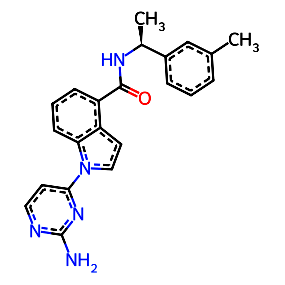 Cc1cccc([C@H](C)NC(=O)c2cccc3c2ccn3-c2ccnc(N)n2)c1